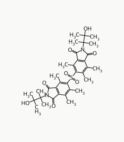 Cc1c(C)c(S(=O)(=O)c2c(C)c(C)c3c(c2C)C(=O)N(C(C)(C)C(C)(C)O)C3=O)c(C)c2c1C(=O)N(C(C)(C)C(C)(C)O)C2=O